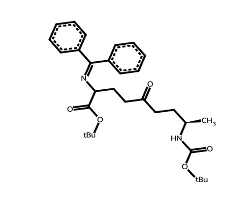 C[C@H](CCC(=O)CCC(N=C(c1ccccc1)c1ccccc1)C(=O)OC(C)(C)C)NC(=O)OC(C)(C)C